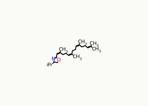 CC(C)=CCCC(C)=CCCC(C)=CCCC(C)=CC1=NC(C(C)C)CO1